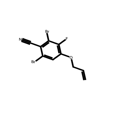 C=CCOc1cc(Br)c(C#N)c(Br)c1F